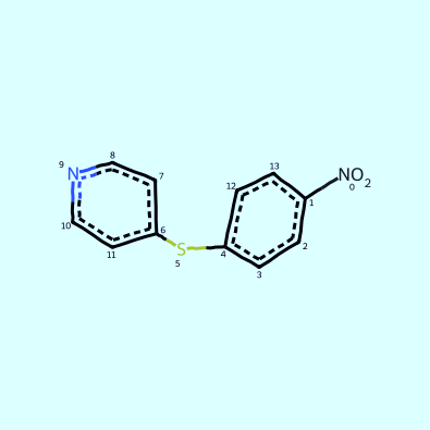 O=[N+]([O-])c1ccc(Sc2ccncc2)cc1